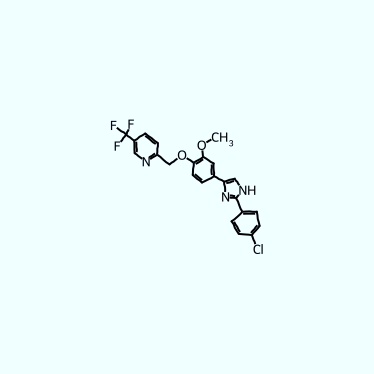 COc1cc(-c2c[nH]c(-c3ccc(Cl)cc3)n2)ccc1OCc1ccc(C(F)(F)F)cn1